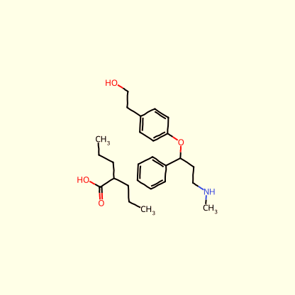 CCCC(CCC)C(=O)O.CNCCC(Oc1ccc(CCO)cc1)c1ccccc1